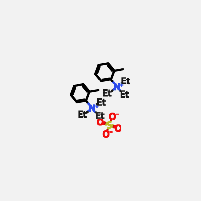 CC[N+](CC)(CC)c1ccccc1C.CC[N+](CC)(CC)c1ccccc1C.O=S(=O)([O-])[O-]